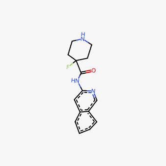 O=C(Nc1cc2ccccc2cn1)C1(F)CCNCC1